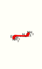 CCC(c1ccc(CCCCCCCCCCCCCCCCCCCCc2ccc(C(CC)c3ccc(N)cc3C)cc2)cc1)c1ccc(N)cc1C